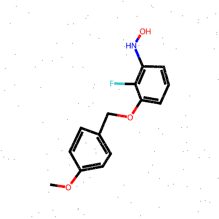 COc1ccc(COc2cccc(NO)c2F)cc1